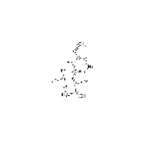 C=Cc1cnc2oc(C(C)C)c(C(F)(F)F)c2n1